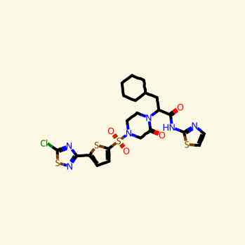 O=C(Nc1nccs1)C(CC1CCCCC1)N1CCN(S(=O)(=O)c2ccc(-c3nsc(Cl)n3)s2)CC1=O